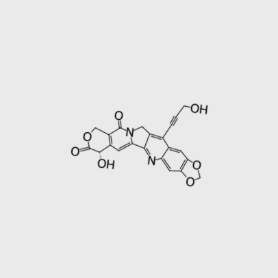 O=C1OCc2c(cc3n(c2=O)Cc2c-3nc3cc4c(cc3c2C#CCO)OCO4)[C@@H]1O